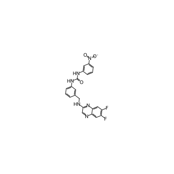 O=C(Nc1cccc(CNc2cnc3cc(F)c(F)cc3n2)c1)Nc1cccc([N+](=O)[O-])c1